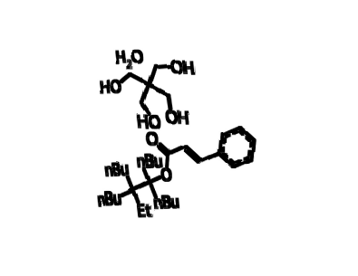 CCCCC(CC)(CCCC)C(CCCC)(CCCC)OC(=O)C=Cc1ccccc1.O.OCC(CO)(CO)CO